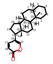 C[C@]12CCCC[C@@H]1CC[C@@H]1[C@@H]2CC[C@]2(C)[C@@H](c3ccc(=O)oc3)CC[C@@H]12